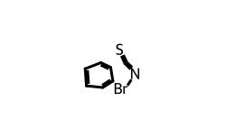 S=C=NBr.c1ccccc1